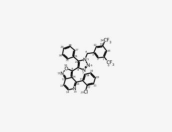 FC(F)(F)c1cc(Cn2nnc(-c3onc4ccnc(-c5ccccc5Cl)c34)c2-c2ccccc2)cc(C(F)(F)F)c1